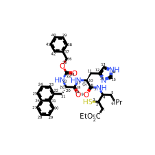 CCOC(=O)CC(S)C(CC(C)C)NC(=O)[C@H](Cc1c[nH]cn1)NC(=O)[C@H](Cc1cccc2ccccc12)NC(=O)OCc1ccccc1